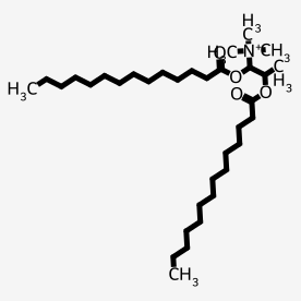 CCCCCCCCCCCCCC(=O)OC(C)C(OC(=O)CCCCCCCCCCCCC)[N+](C)(C)C